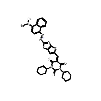 CCN(CC)c1ccc(/N=N/c2nc3sc(C=C4C(=O)N(C5CCCCC5)C(=O)N(C5CCCCC5)C4=O)cc3s2)c2ccccc12